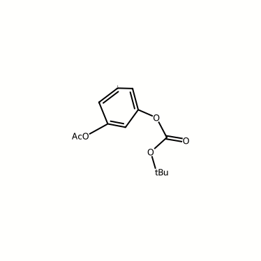 CC(=O)Oc1c[c]cc(OC(=O)OC(C)(C)C)c1